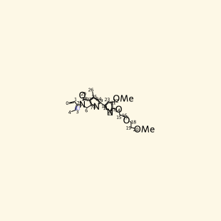 C=C/C(=C\C)N1Cc2nc(-c3cnc(OCCOCCOC)c(OC)c3)cc(C)c2C1=O